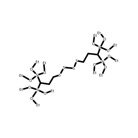 CCO[Si](OCC)(OCC)C(CCSSSSCCC([Si](OCC)(OCC)OCC)[Si](OCC)(OCC)OCC)[Si](OCC)(OCC)OCC